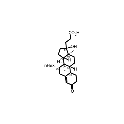 CCCCCC[C@H]1CC2=CC(=O)CC[C@]2(C)[C@H]2CC[C@@]3(C)[C@@H](CC[C@]3(O)CCC(=O)O)[C@H]12